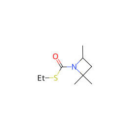 CCSC(=O)N1C(C)CC1(C)C